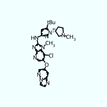 CN1CC[C@@H](n2nc(Nc3nc4ncc(Oc5cnn6ccnc6c5)c(Cl)c4n3C)cc2C(C)(C)C)C1